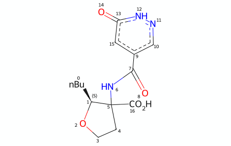 CCCC[C@@H]1OCCC1(NC(=O)c1cn[nH]c(=O)c1)C(=O)O